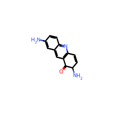 Nc1ccc2nc3c(cc2c1)C(=O)C(N)C=C3